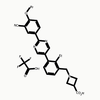 CCc1c(CN2CC(C(=O)O)C2)cccc1-c1cnc(-c2ccc(OC(C)C)c(C#N)c2)nc1.O=C(O)C(F)(F)F